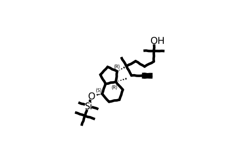 C#CCC(C)(CCCC(C)(C)O)[C@H]1CCC2[C@@H](O[Si](C)(C)C(C)(C)C)CCC[C@@]21C